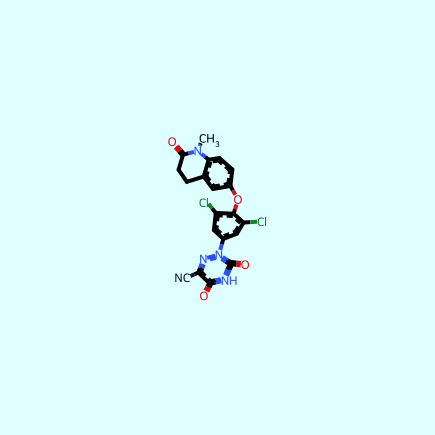 CN1C(=O)CCc2cc(Oc3c(Cl)cc(-n4nc(C#N)c(=O)[nH]c4=O)cc3Cl)ccc21